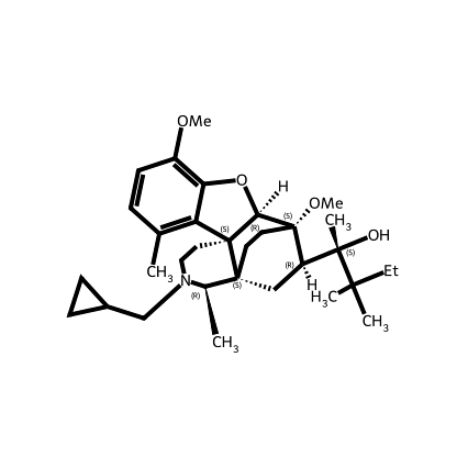 CCC(C)(C)[C@@](C)(O)[C@H]1C[C@@]23CC[C@@]1(OC)[C@@H]1Oc4c(OC)ccc(C)c4[C@@]12CCN(CC1CC1)[C@@H]3C